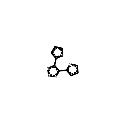 c1csc(-c2nsnc2-c2cccs2)c1